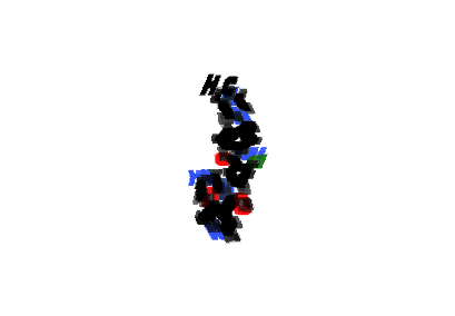 CN1CCN(Cc2cccc(NC(=O)c3cc(N(C(=O)c4ccncc4)C4CNCCO4)ccc3Cl)c2)CC1